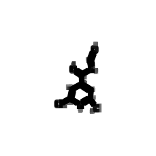 O=C=NC(=O)c1cc(Cl)nc(Cl)c1